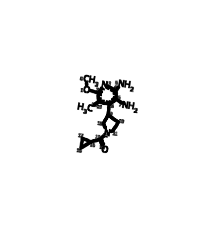 COc1nc(N)c(N)c(C2CCN(C(=O)C3CC3)C2)c1C